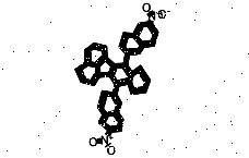 O=[N+]([O-])c1ccc2cc(-c3c4c(c(-c5ccc6cc([N+](=O)[O-])ccc6c5)c5ccccc35)-c3cccc5cccc-4c35)ccc2c1